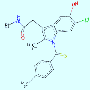 CCNC(=O)Cc1c(C)n(C(=S)c2ccc(C)cc2)c2cc(Cl)c(O)cc12